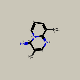 N#Cc1cnc2c([N+](=O)[O-])cccn2c1=N